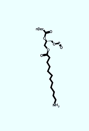 CCCCCCCCCCC(=O)O[C@H](COP=O)COC(=O)CCCCCCCCCCCN